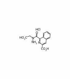 Cl.NN(CC(=O)O)C(=O)c1nc(C(=O)O)cc2ccccc12